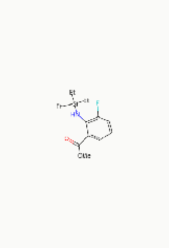 CC[Si](CC)(CC)Nc1c(F)cccc1C(=O)OC